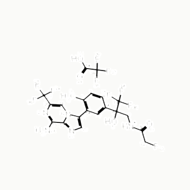 Cc1ccc(C(O)(CNC(=O)CF)C(F)(F)F)cc1-c1cnc2c(N)nc(C(F)(F)F)cn12.O=C(O)C(F)(F)F